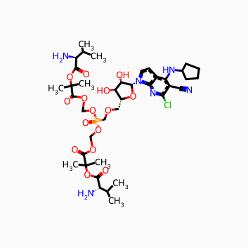 CC(C)[C@H](N)C(=O)OC(C)(C)C(=O)OCOP(=O)(COC[C@H]1O[C@@H](n2ccc3c(NC4CCCC4)c(C#N)c(Cl)nc32)[C@H](O)[C@@H]1O)OCOC(=O)C(C)(C)OC(=O)[C@@H](N)C(C)C